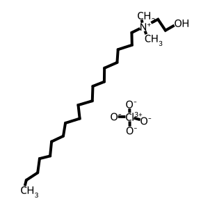 CCCCCCCCCCCCCCCCCC[N+](C)(C)CCO.[O-][Cl+3]([O-])([O-])[O-]